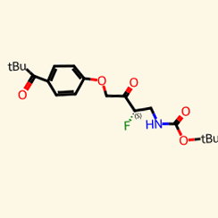 CC(C)(C)OC(=O)NC[C@H](F)C(=O)COc1ccc(C(=O)C(C)(C)C)cc1